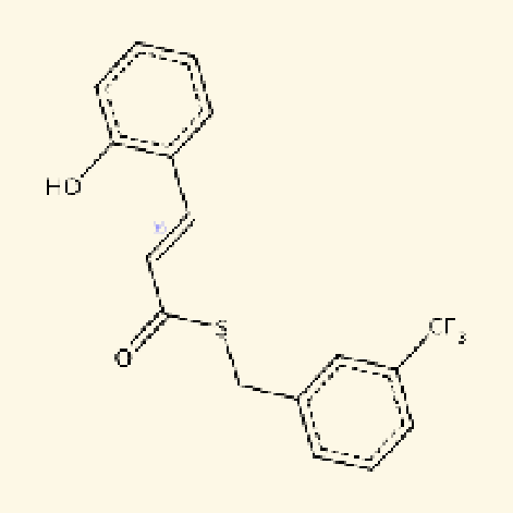 O=C(/C=C/c1ccccc1O)SCc1cccc(C(F)(F)F)c1